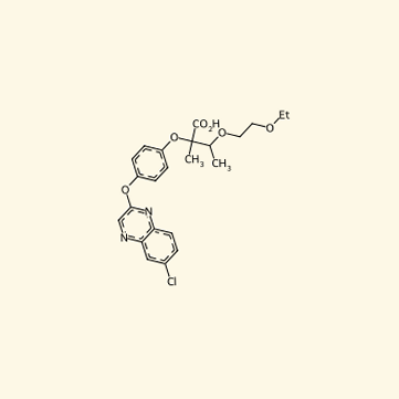 CCOCCOC(C)C(C)(Oc1ccc(Oc2cnc3cc(Cl)ccc3n2)cc1)C(=O)O